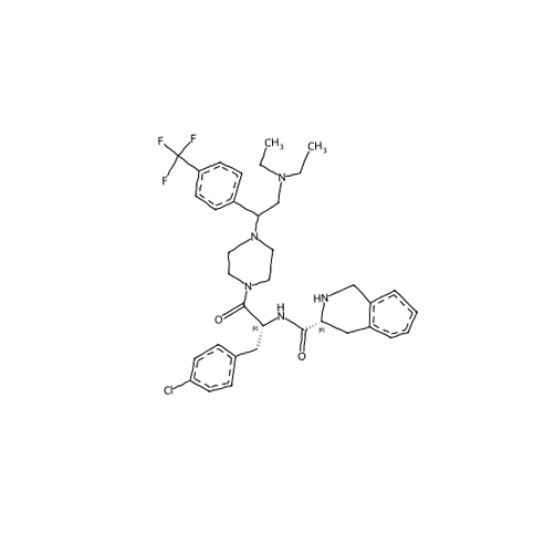 CCN(CC)CC(c1ccc(C(F)(F)F)cc1)N1CCN(C(=O)[C@@H](Cc2ccc(Cl)cc2)NC(=O)[C@H]2Cc3ccccc3CN2)CC1